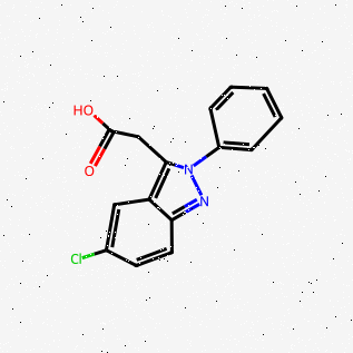 O=C(O)Cc1c2cc(Cl)ccc2nn1-c1ccccc1